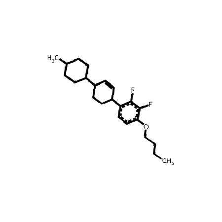 CCCCOc1ccc(C2C=CC(C3CCC(C)CC3)CC2)c(F)c1F